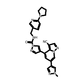 Cn1cc(-c2cc(-c3cnn(C(=O)NCc4ccc(N5CCCC5)nc4)c3)c3c(C#N)cnn3c2)cn1